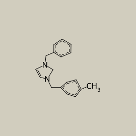 Cc1ccc(CN2C=CN(Cc3ccccc3)C2)cc1